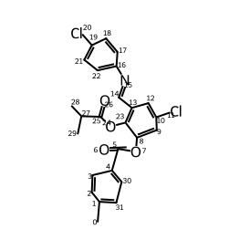 Cc1ccc(C(=O)Oc2cc(Cl)cc(C=Nc3ccc(Cl)cc3)c2OC(=O)C(C)C)cc1